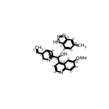 C=CC1CN2CCC1CC2C(O)c1ccnc2ccc(OC)cc12.Cc1ccc2[nH]nnc2c1